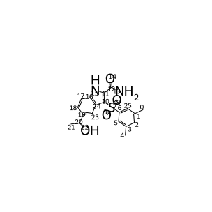 Cc1cc(C)cc(S(=O)(=O)c2c(C(N)=O)[nH]c3ccc(C(C)O)cc23)c1